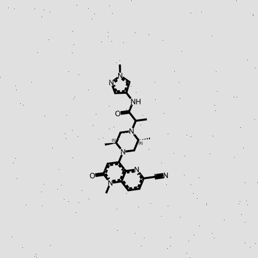 CC(C(=O)Nc1cnn(C)c1)N1C[C@H](C)N(c2cc(=O)n(C)c3ccc(C#N)nc23)C[C@H]1C